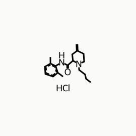 C=C1CCN(CCCC)C(C(=O)Nc2c(C)cccc2C)C1.Cl